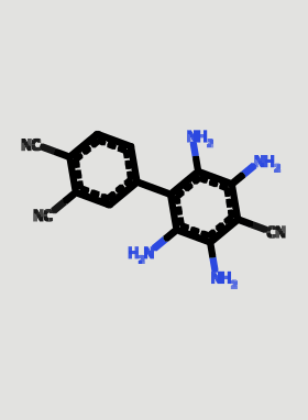 N#Cc1ccc(-c2c(N)c(N)c(C#N)c(N)c2N)cc1C#N